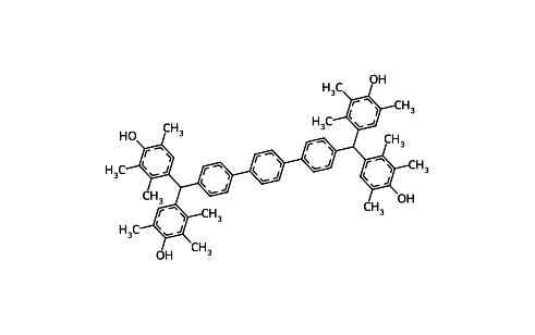 Cc1cc(C(c2ccc(-c3ccc(-c4ccc(C(c5cc(C)c(O)c(C)c5C)c5cc(C)c(O)c(C)c5C)cc4)cc3)cc2)c2cc(C)c(O)c(C)c2C)c(C)c(C)c1O